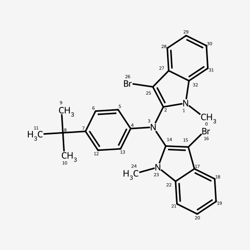 Cn1c(N(c2ccc(C(C)(C)C)cc2)c2c(Br)c3ccccc3n2C)c(Br)c2ccccc21